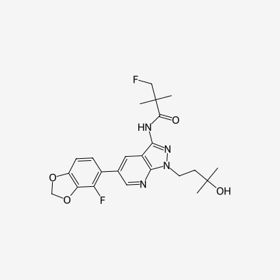 CC(C)(O)CCn1nc(NC(=O)C(C)(C)CF)c2cc(-c3ccc4c(c3F)OCO4)cnc21